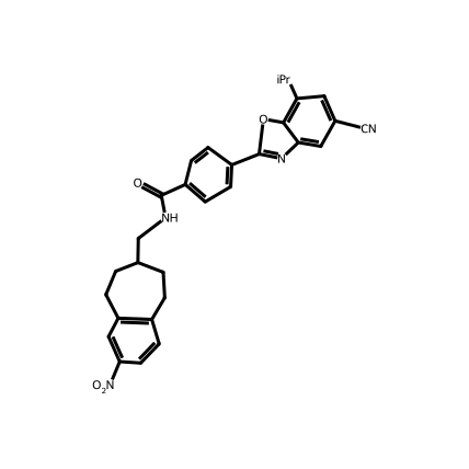 CC(C)c1cc(C#N)cc2nc(-c3ccc(C(=O)NCC4CCc5ccc([N+](=O)[O-])cc5CC4)cc3)oc12